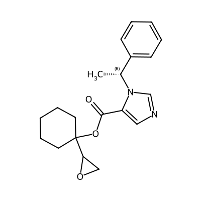 C[C@H](c1ccccc1)n1cncc1C(=O)OC1(C2CO2)CCCCC1